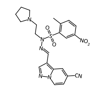 Cc1ccc([N+](=O)[O-])cc1S(=O)(=O)N(CCN1CCCC1)N=Cc1cnn2ccc(C#N)cc12